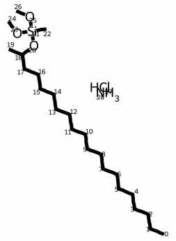 CCCCCCCCCCCCCCCCCCC(C)O[Si](C)(OC)OC.Cl.N